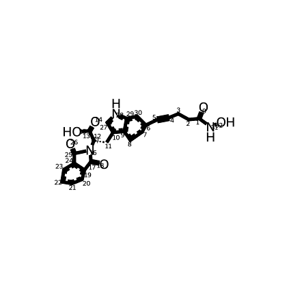 O=C(CCC#Cc1ccc2c(C[C@@H](C(=O)O)N3C(=O)c4ccccc4C3=O)c[nH]c2c1)NO